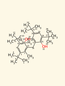 Cc1c(C(C)(C)C)cc(C(C)(C)C)c(O)c1Cc1c(C)c(C(C)(C)C)cc(C(C)(C)C)c1O